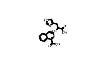 NC(Cc1c[nH]cn1)C(=O)O.O=C(O)c1nccc2ccccc12